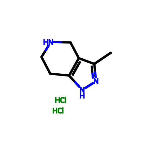 Cc1n[nH]c2c1CNCC2.Cl.Cl